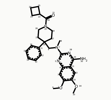 COc1cc2nc(N(C)CC3(c4ccccc4)CCN(C(=O)C4CCC4)CC3)nc(N)c2cc1OC